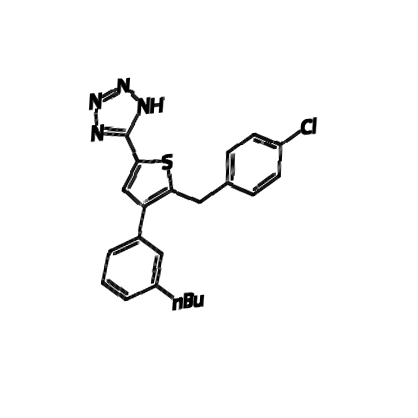 CCCCc1cccc(-c2cc(-c3nnn[nH]3)sc2Cc2ccc(Cl)cc2)c1